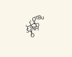 CC(C)(C)OC(=O)C1(C)CSC(=O)N1